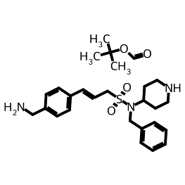 CC(C)(C)OC=O.NCc1ccc(C=CCS(=O)(=O)N(Cc2ccccc2)C2CCNCC2)cc1